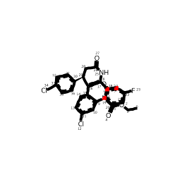 CCOC(=O)N(C(C)=O)c1cc(Cl)ccc1C1=C(c2cccc(F)c2)NC(=O)C[C@@H]1c1ccc(Cl)cc1